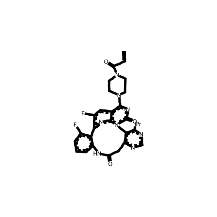 C=CC(=O)N1CCN(c2nc(=O)n3c4nc(c(F)cc24)-c2c(F)cccc2NC(=O)Cc2ncnc(C(C)C)c2-3)CC1